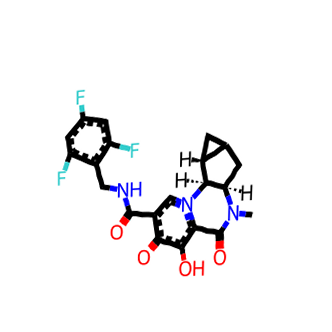 CN1C(=O)c2c(O)c(=O)c(C(=O)NCc3c(F)cc(F)cc3F)cn2[C@H]2[C@@H]3CC3C[C@H]21